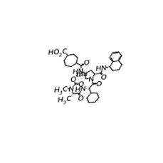 C[C@@H](C(=O)N[C@H](C(=O)N1C[C@@H](NC(=O)C2CCCC(C(=O)O)CC2)C[C@H]1C(=O)N[C@@H]1CCCc2ccccc21)C1CCCCC1)N(C)C(=O)OC(C)(C)C